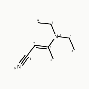 CCN(CC)C(C)=CC#N